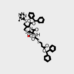 CO[C@@]1(NC(=O)CSCCC(=O)OC(c2ccccc2)c2ccccc2)C(=O)N2C(C(=O)OC(c3ccccc3)c3ccccc3)=C(CSc3nnnn3C)CS[C@@H]21